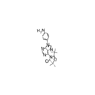 CC(C)(C)C(=O)N(C(=O)C(C)(C)C)c1ncnc2c1ncn2-c1ccc(N)cc1